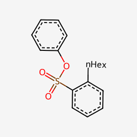 CCCCCCc1ccccc1S(=O)(=O)Oc1ccccc1